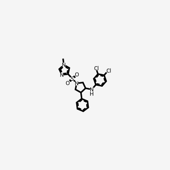 Cn1cnc(S(=O)(=O)N2CC(Nc3ccc(Cl)c(Cl)c3)C(c3ccccc3)C2)c1